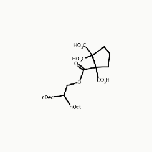 CCCCCCCCCCC(CCCCCCCC)COC(=O)C1(C(=O)O)CCCC1(C(=O)O)C(=O)O